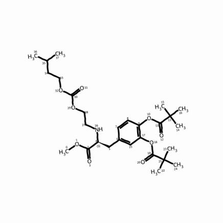 COC(=O)[C@H](Cc1ccc(OC(=O)C(C)(C)C)c(OC(=O)C(C)(C)C)c1)NCCOC(=O)OCCC(C)C